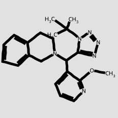 COc1ncccc1C(c1nnnn1C(C)(C)C)N1CCc2ccccc2C1